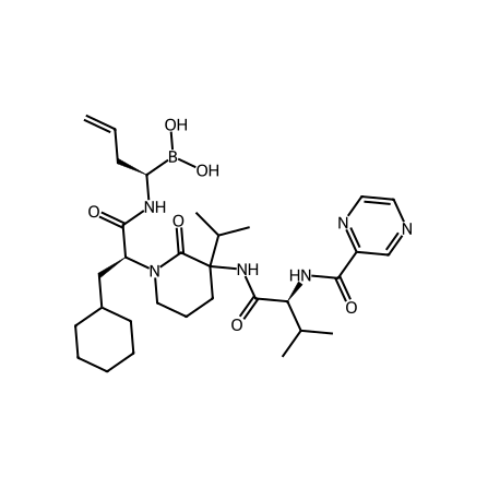 C=CC[C@H](NC(=O)[C@H](CC1CCCCC1)N1CCCC(NC(=O)[C@@H](NC(=O)c2cnccn2)C(C)C)(C(C)C)C1=O)B(O)O